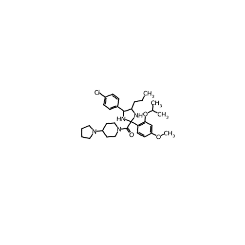 CCCC1NC(C(=O)N2CCC(N3CCCC3)CC2)(c2ccc(OC)cc2OC(C)C)NC1c1ccc(Cl)cc1